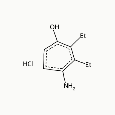 CCc1c(N)ccc(O)c1CC.Cl